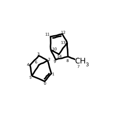 C1=CC2CCC1C2.CC1CC2C=CC1C2